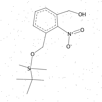 CC(C)(C)[Si](C)(C)OCc1cccc(CO)c1[N+](=O)[O-]